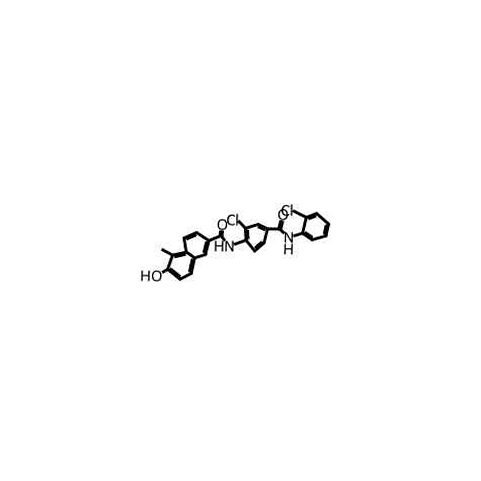 Cc1c(O)ccc2cc(C(=O)Nc3ccc(C(=O)Nc4ccccc4Cl)cc3Cl)ccc12